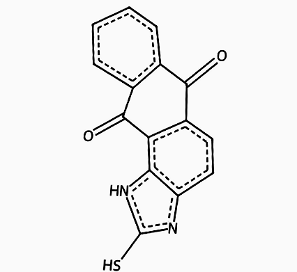 O=C1c2ccccc2C(=O)c2c1ccc1nc(S)[nH]c21